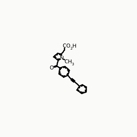 Cn1c(CC(=O)O)ccc1C(=O)c1ccc(C#Cc2ccccc2)cc1